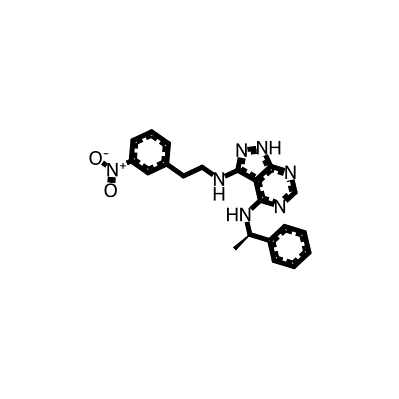 C[C@@H](Nc1ncnc2[nH]nc(NCCc3cccc([N+](=O)[O-])c3)c12)c1ccccc1